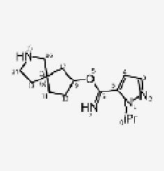 CC(C)n1nccc1C(=N)OC1CC[C@]2(CCNC2)C1